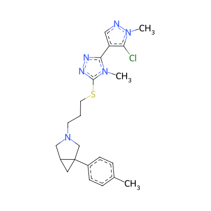 Cc1ccc(C23CC2CN(CCCSc2nnc(-c4cnn(C)c4Cl)n2C)C3)cc1